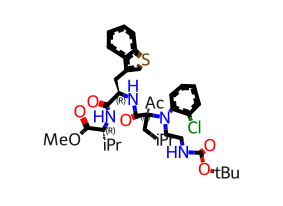 COC(=O)[C@H](NC(=O)[C@@H](Cc1csc2ccccc12)NC(=O)[C@@](CC(C)C)(C(C)=O)N(CCNC(=O)OC(C)(C)C)c1ccccc1Cl)C(C)C